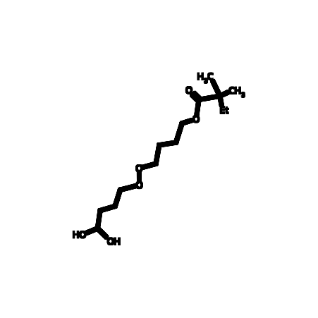 CCC(C)(C)C(=O)OCCCCOOCCCC(O)O